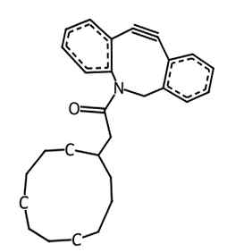 O=C(CC1CCCCCCCCCC1)N1Cc2ccccc2C#Cc2ccccc21